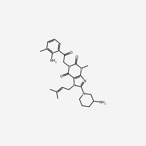 CC(C)=CCn1c(N2CCCC(N)C2)nc2c1c(=O)n(CC(=O)c1cccc(C)c1N)c(=O)n2C